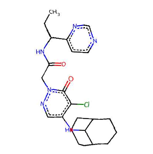 CCC(NC(=O)Cn1ncc(NC2C3CCCC2CCC3)c(Cl)c1=O)c1ccncn1